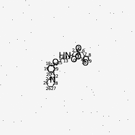 O=C(CS(=O)(=O)Cc1ccoc1)NCCCOc1cccc(CN2CCCCC2)c1